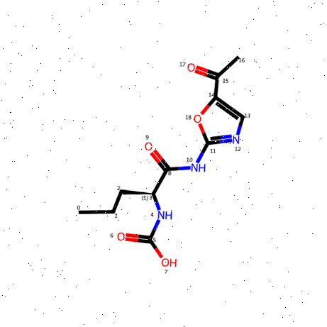 CCC[C@H](NC(=O)O)C(=O)Nc1ncc(C(C)=O)o1